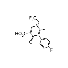 Cc1c(-c2ccc(F)cc2)c(=O)c(C(=O)O)cn1CC(F)(F)F